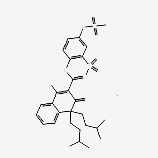 CC(C)CCC1(CCC(C)C)C(=O)C(C2=NS(=O)(=O)c3cc(NS(C)(=O)=O)ccc3N2)=C([O-])c2ccccc21.[Na+]